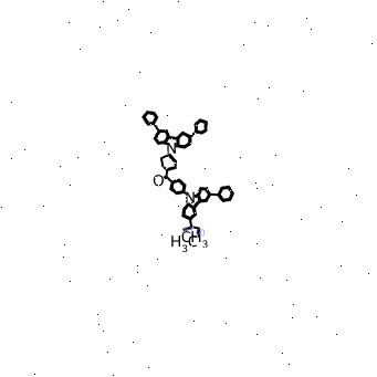 C/C=C\C(=C/C)c1ccc2c(c1)c1cc(-c3ccccc3)ccc1n2-c1ccc(C(=O)C2=CC=C(n3c4ccc(-c5ccccc5)cc4c4cc(-c5ccccc5)ccc43)CC2)cc1